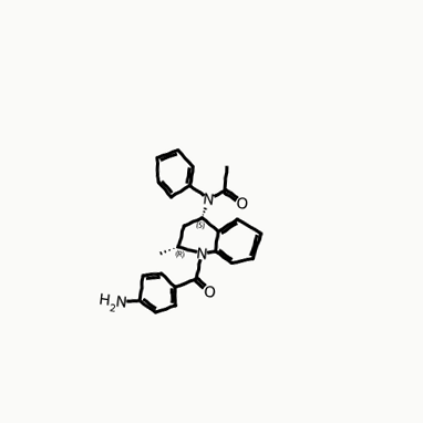 CC(=O)N(c1ccccc1)[C@H]1C[C@@H](C)N(C(=O)c2ccc(N)cc2)c2ccccc21